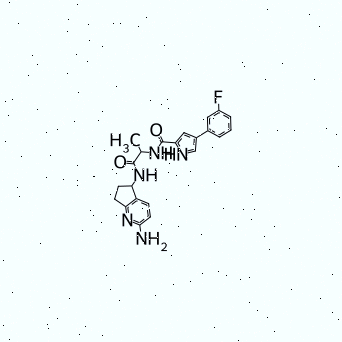 CC(NC(=O)c1cc(-c2cccc(F)c2)c[nH]1)C(=O)NC1CCc2nc(N)ccc21